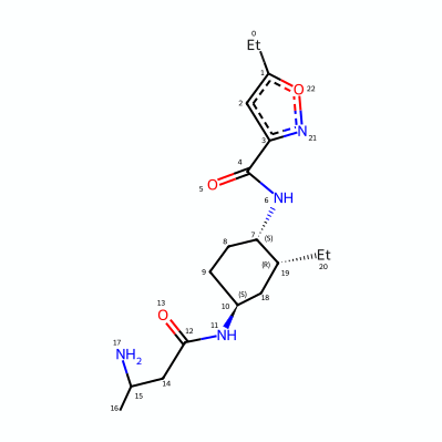 CCc1cc(C(=O)N[C@H]2CC[C@H](NC(=O)CC(C)N)C[C@H]2CC)no1